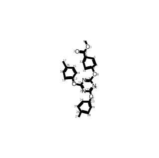 COC(=O)c1ccc(Oc2nc(Oc3ccc(C)cc3)nc(Oc3ccc(C)cc3)n2)cc1